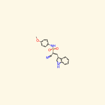 COc1ccc(NS(=O)(=O)/C(C#N)=C/c2c[nH]c3ccccc23)cc1